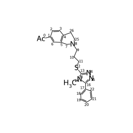 CC(=O)c1ccc2c(c1)CN(CCCSc1nnc(-c3ccccc3)n1C)CC2